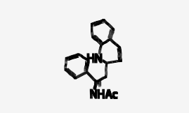 CC(=O)N[C@H](CC1C=Cc2ccccc2N1)c1ccccc1